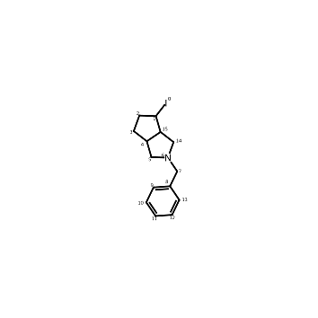 IC1CCC2CN(Cc3ccccc3)CC12